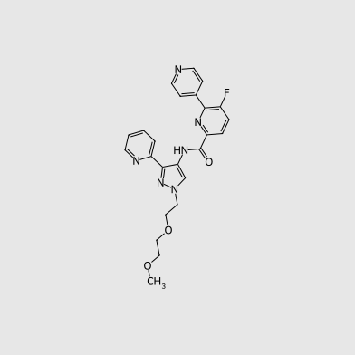 COCCOCCn1cc(NC(=O)c2ccc(F)c(-c3ccncc3)n2)c(-c2ccccn2)n1